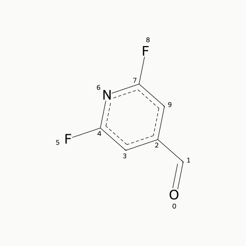 O=Cc1cc(F)nc(F)c1